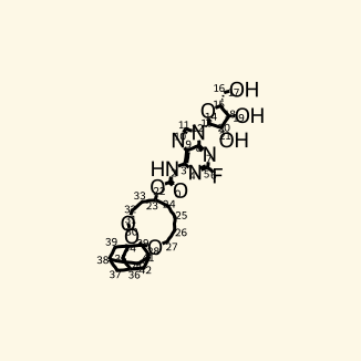 O=C(Nc1nc(F)nc2c1ncn2[C@@H]1O[C@H](CO)[C@@H](O)[C@@H]1O)OC1CCCCOC2(OOCC1)C1CC3CC(C1)CC2C3